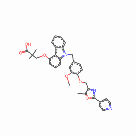 COc1cc(Cn2c3ccccc3c3c(OCC(C)(C)C(=O)O)cccc32)ccc1OCc1nc(-c2ccncc2)oc1C